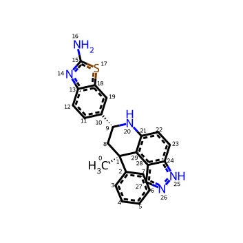 C[C@]1(c2ccccc2)C[C@H](c2ccc3nc(N)sc3c2)Nc2ccc3[nH]ncc3c21